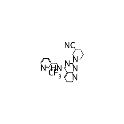 N#CC1CCCN(c2nc(NCc3cccnc3C(F)(F)F)c3cccnc3n2)C1